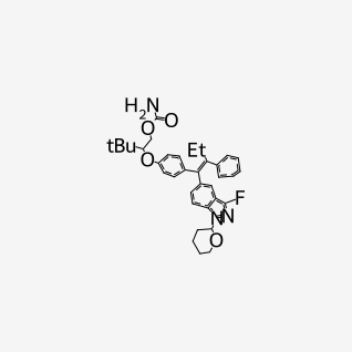 CCC(=C(c1ccc(OC(COC(N)=O)C(C)(C)C)cc1)c1ccc2c(c1)c(F)nn2C1CCCCO1)c1ccccc1